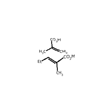 C=C(C)C(=O)O.CC/C=C(\C)C(=O)O